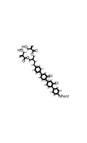 C=C(CO)C(=O)OCC(CCc1ccc(-c2ccc(-c3ccc(-c4ccc(CCCCC)cc4)c(CC)c3)c(CC)c2)cc1)COC(=O)C(=C)CO